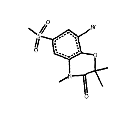 CN1C(=O)C(C)(C)Oc2c(Br)cc(S(C)(=O)=O)cc21